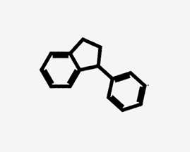 [c]1cccc(C2CCc3ccccc32)c1